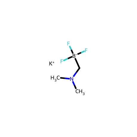 CN(C)C[B-](F)(F)F.[K+]